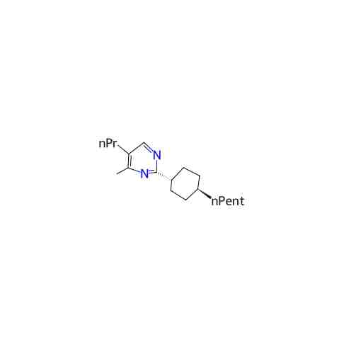 CCCCC[C@H]1CC[C@H](c2ncc(CCC)c(C)n2)CC1